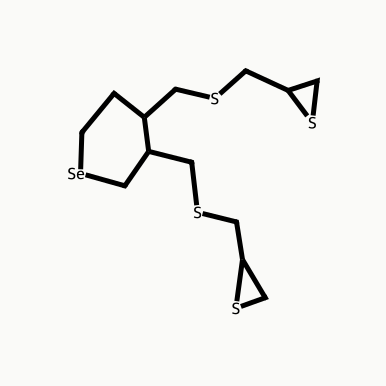 C1CC(CSCC2CS2)C(CSCC2CS2)C[Se]1